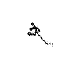 CC1=C(C)C(=O)C(C(C)(C)CC(=O)N(C)CCN(CCOCCOCCOCCOCCC(O)O)C(=O)Oc2c(Cc3ccco3)nc3c(Cc4ccccc4)nc(-c4ccccc4)cn23)=C(C)C1=O